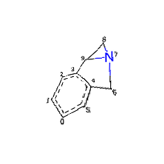 c1ccc2c(c1)CN1CC21